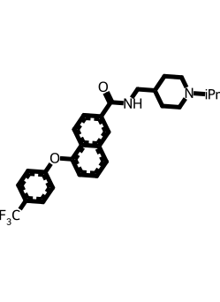 CC(C)N1CCC(CNC(=O)c2ccc3c(Oc4ccc(C(F)(F)F)cc4)cccc3c2)CC1